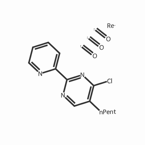 CCCCCc1cnc(-c2ccccn2)nc1Cl.[C]=O.[C]=O.[C]=O.[Re]